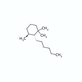 CCC[CH]CC[C@@H]1[C@@H](C)CCCC1(C)C